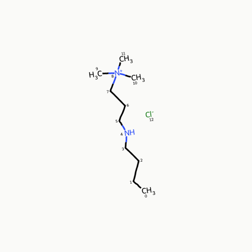 CCCCNCCC[N+](C)(C)C.[Cl-]